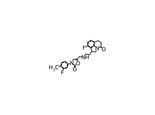 Cc1ccc(N2C[C@@H](CNCCC3CN4C(=O)CCc5ccc(F)c3c54)OC2=O)cc1F